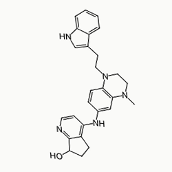 CN1CCN(CCc2c[nH]c3ccccc23)c2ccc(Nc3ccnc4c3CCC4O)cc21